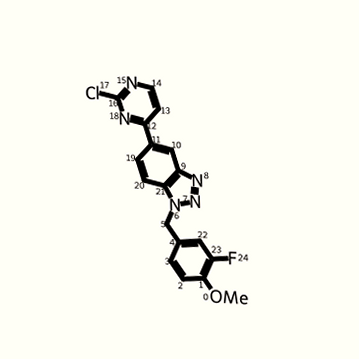 COc1ccc(Cn2nnc3cc(-c4ccnc(Cl)n4)ccc32)cc1F